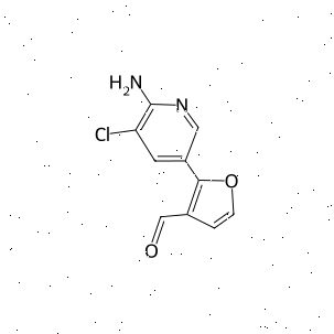 Nc1ncc(-c2occc2C=O)cc1Cl